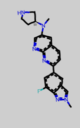 CN(c1cnc2nc(-c3cc(F)c4nn(C)cc4c3)ccc2c1)[C@H]1CCNC1